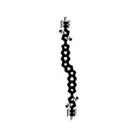 Cn1c(C2=Cc3cc4cc5c(cc4cc3C2)Cc2cc3c(cc2-5)Cc2cc4cc5c(cc4cc2-3)C=C(c2cc3c(cc(C(F)(F)C(F)(F)F)n3C)n2C)C5)cc2c1cc(C(F)(F)C(F)(F)F)n2C